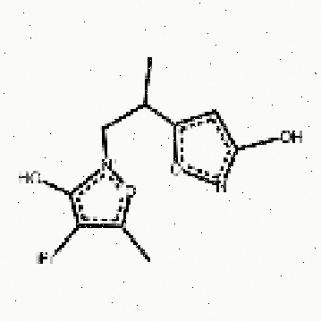 Cc1o[n+](CC(C)c2cc(O)no2)c(O)c1C(C)C